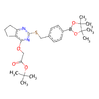 CC(C)(C)OC(=O)COc1nc(SCc2ccc(B3OC(C)(C)C(C)(C)O3)cc2)nc2c1CCC2